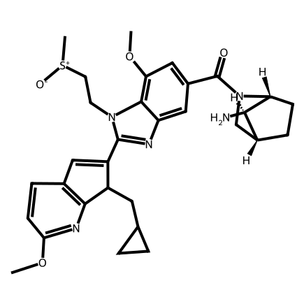 COc1ccc2c(n1)C(CC1CC1)C(c1nc3cc(C(=O)N4C[C@H]5CC[C@@H]4[C@@H]5N)cc(OC)c3n1CC[S+](C)[O-])=C2